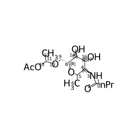 CCCC(=O)N[C@H]1C(C)O[C@H](COC(C)OC(C)=O)[C@@H](O)[C@@H]1O